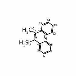 CC(=C([SiH3])c1ccccc1)c1ccccc1